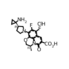 C[C@H]1COc2c(N3CC[C@@H](C4(N)CC4)C3)c(F)c(F)c3cc(C(=O)O)c(=O)n1c23.Cl